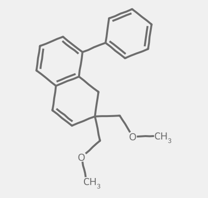 COCC1(COC)C=Cc2cccc(-c3ccccc3)c2C1